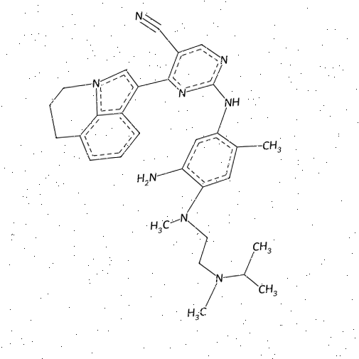 Cc1cc(N(C)CCN(C)C(C)C)c(N)cc1Nc1ncc(C#N)c(-c2cn3c4c(cccc24)CCC3)n1